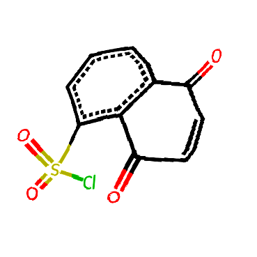 O=C1C=CC(=O)c2c1cccc2S(=O)(=O)Cl